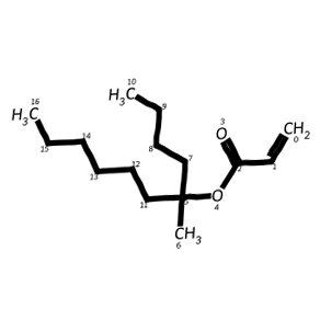 C=CC(=O)OC(C)(CCCC)CCCCCC